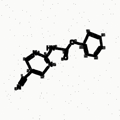 N#Cc1cnc(NC(=O)Oc2ccccc2)nc1